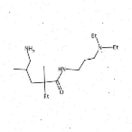 CCN(CC)CCCNC(=O)C(C)(CC)CC(C)CN